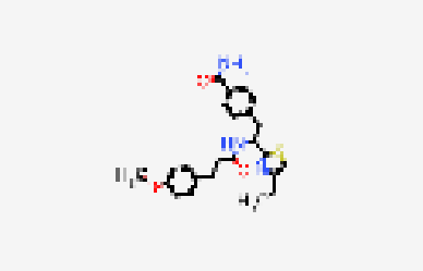 CCc1csc(C(Cc2ccc(C(N)=O)cc2)NC(=O)CCc2ccc(OC)cc2)n1